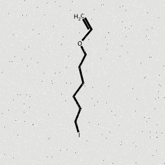 C=COCCCCCCI